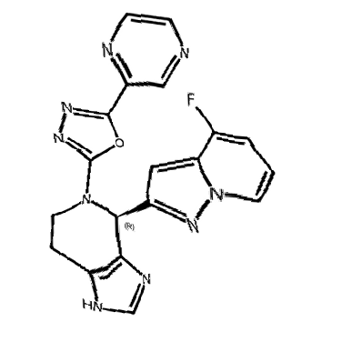 Fc1cccn2nc([C@H]3c4nc[nH]c4CCN3c3nnc(-c4cnccn4)o3)cc12